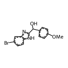 COc1ccc(C(O)c2nc3cc(Br)ccc3[nH]2)cc1